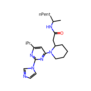 CCCCCC(C)NC(=O)CC1CCCCN1c1cc(C(C)C)nc(-n2ccnc2)n1